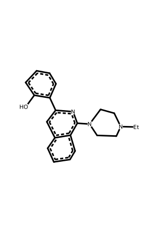 CCN1CCN(c2nc(-c3ccccc3O)cc3ccccc23)CC1